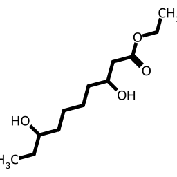 CCOC(=O)CC(O)CCCCC(O)CC